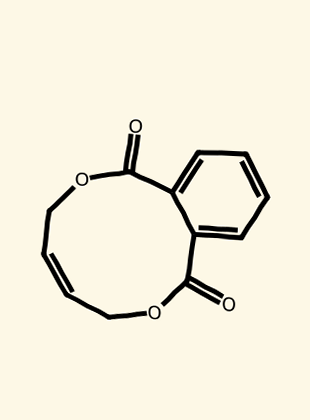 O=C1OC/C=C\COC(=O)c2ccccc21